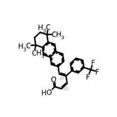 CC1(C)CCC(C)(C)c2cc3cc(/C=C(/C=C\C(=O)O)c4cccc(C(F)(F)F)c4)ccc3cc21